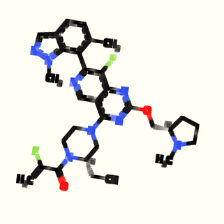 C=C(F)C(=O)N1CCN(c2nc(OC[C@@H]3CCCN3C)nc3c(F)c(-c4c(C)ccc5cnn(C)c45)ncc23)C[C@@H]1CC#N